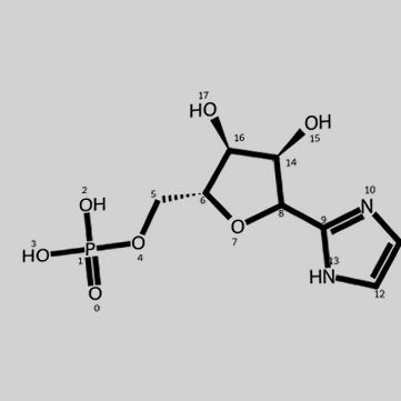 O=P(O)(O)OC[C@H]1OC(c2ncc[nH]2)[C@H](O)[C@@H]1O